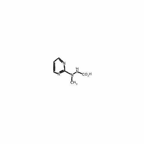 CN(NC(=O)O)c1ncccn1